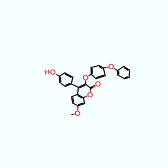 COc1ccc2c(-c3ccc(O)cc3)c(Oc3ccc(Oc4ccccc4)cc3)c(=O)oc2c1